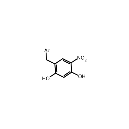 CC(=O)Cc1cc([N+](=O)[O-])c(O)cc1O